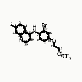 Cc1ccc2c(Nc3ccc(OCCOC(F)(F)F)cc3Br)ccnc2c1